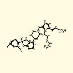 Cc1ccc([C@@]2(C)Oc3cccc(C4CCN(Cc5ncc(/C=C/C(=O)O)n5CCOCC(F)(F)F)CC4)c3O2)c(F)c1